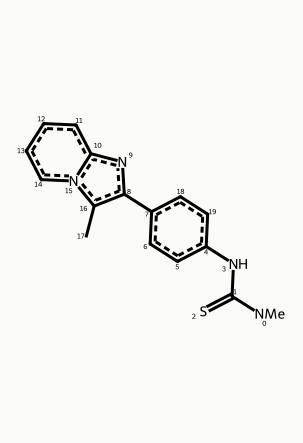 CNC(=S)Nc1ccc(-c2nc3ccccn3c2C)cc1